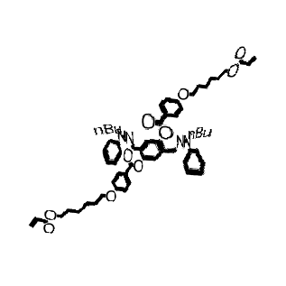 C=CC(=O)OCCCCCCOc1ccc(C(=O)Oc2cc(/C=N/N(CCCC)c3ccccc3)c(OC(=O)c3ccc(OCCCCCCOC(=O)C=C)cc3)cc2/C=N/N(CCCC)c2ccccc2)cc1